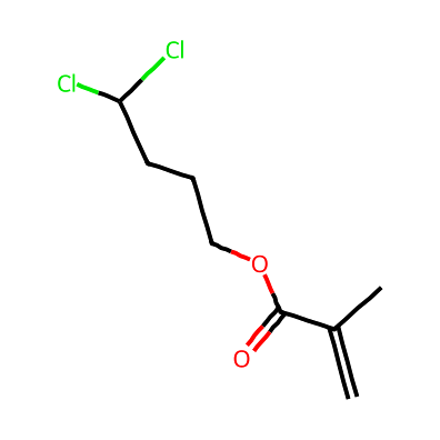 C=C(C)C(=O)OCCCC(Cl)Cl